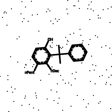 CCCCCCCCCCc1c(CCCCC)ccc(O)c1C(C)(C)c1ccccc1